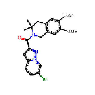 COc1cc2c(cc1OC)CC(C)(C)N(C(=O)c1cc3ccc(Br)cn3n1)C2